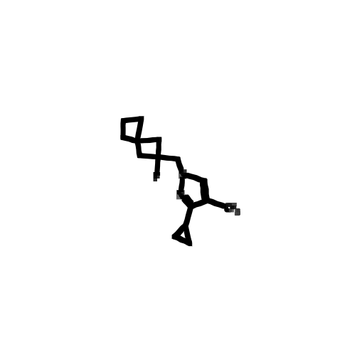 FC1(Cn2cc(C(F)(F)F)c(C3CC3)n2)CC2(CCC2)C1